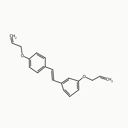 C=CCOc1ccc(C=Cc2cccc(OCC=C)c2)cc1